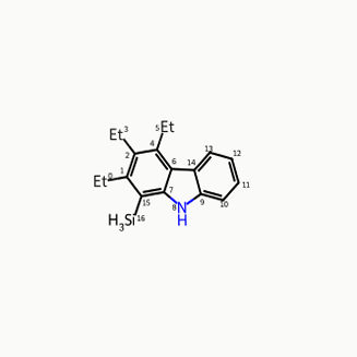 CCc1c(CC)c(CC)c2c([nH]c3ccccc32)c1[SiH3]